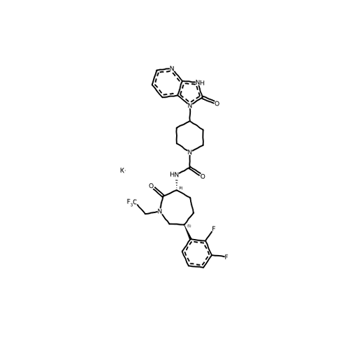 O=C(N[C@@H]1CC[C@@H](c2cccc(F)c2F)CN(CC(F)(F)F)C1=O)N1CCC(n2c(=O)[nH]c3ncccc32)CC1.[K]